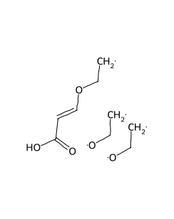 [CH2]COC=CC(=O)O.[CH2]C[O].[CH2]C[O]